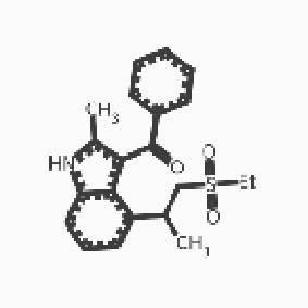 CCS(=O)(=O)CC(C)c1cccc2[nH]c(C)c(C(=O)c3ccccc3)c12